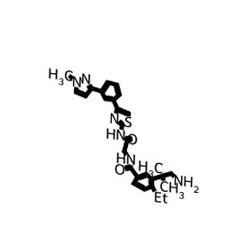 CCc1ccc(C(=O)NCC(=O)Nc2nc(-c3cccc(-c4ccn(C)n4)c3)cs2)cc1C(C)(C)CN